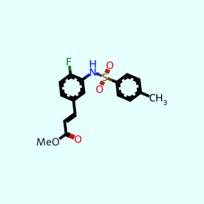 COC(=O)C=Cc1ccc(F)c(NS(=O)(=O)c2ccc(C)cc2)c1